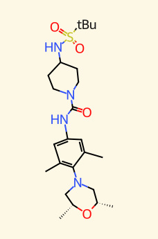 Cc1cc(NC(=O)N2CCC(NS(=O)(=O)C(C)(C)C)CC2)cc(C)c1N1C[C@@H](C)O[C@@H](C)C1